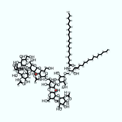 CCCCCCCCCCCCC/C=C/[C@@H](O)[C@H](CO[C@@H]1OC(CO)[C@@H](O[C@@H]2OC(CO[C@@H]3OC(CO)[C@@H](O[C@@H]4OC(CO)[C@H](O[C@@H]5OC(CO)[C@H](O)[C@H](O)C5NC(C)=O)[C@H](O[C@]5(C(=O)O)CC(O)[C@@H](NC(C)=O)C([C@H](O)[C@H](O)CO)O5)C4O)[C@H](O)C3NC(C)=O)[C@H](O)[C@H](O[C@@H]3OC(CO)[C@H](O)[C@H](O[C@@H]4OC(CO)[C@H](O)[C@H](O)C4NC(C)=O)C3O)C2O)[C@H](O)C1O)NC(=O)CCCCCCCCCCCCCCCCCCC